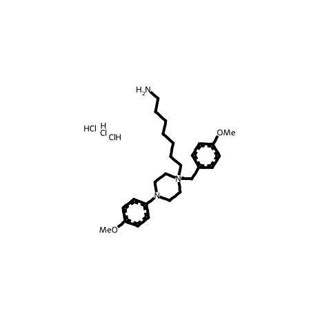 COc1ccc(C[N+]2(CCCCCCCN)CCN(c3ccc(OC)cc3)CC2)cc1.Cl.Cl.Cl